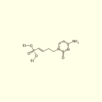 CCOP(=O)(C=CCCn1ccc(N)nc1=O)OCC